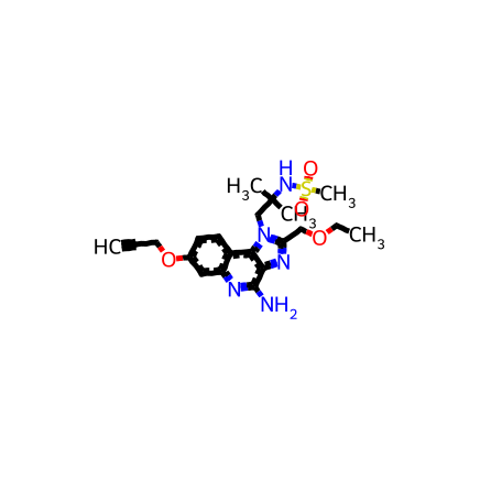 C#CCOc1ccc2c(c1)nc(N)c1nc(COCC)n(CC(C)(C)NS(C)(=O)=O)c12